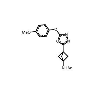 COc1ccc(Oc2nnc(C34CC(NC(C)=O)(C3)C4)o2)cc1